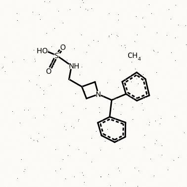 C.O=S(=O)(O)NCC1CN(C(c2ccccc2)c2ccccc2)C1